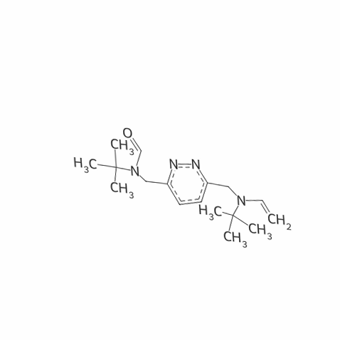 C=CN(Cc1ccc(CN(C=O)C(C)(C)C)nn1)C(C)(C)C